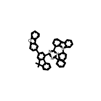 CC1(C)c2ccccc2-c2c(-c3nc(-c4ccccc4)nc(-c4cccc5c6ccccc6n(-c6ccccc6)c45)n3)cc(-c3ccc4oc5ccccc5c4c3)cc21